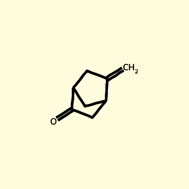 C=C1CC2CC1CC2=O